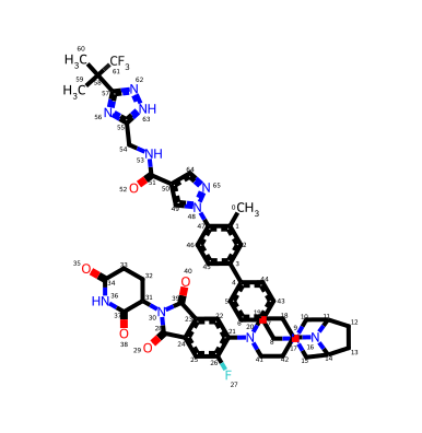 Cc1cc(-c2ccc(CN3CC4CCC(C3)N4C3CCN(c4cc5c(cc4F)C(=O)N(C4CCC(=O)NC4=O)C5=O)CC3)cc2)ccc1-n1cc(C(=O)NCc2nc(C(C)(C)C(F)(F)F)n[nH]2)cn1